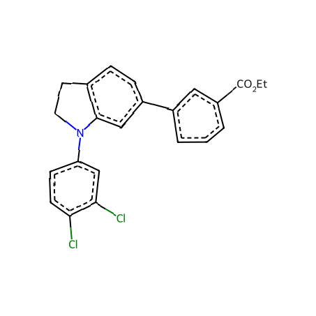 CCOC(=O)c1cccc(-c2ccc3c(c2)N(c2ccc(Cl)c(Cl)c2)CC3)c1